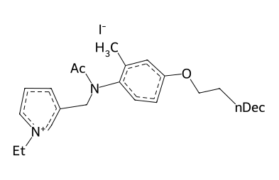 CCCCCCCCCCCCOc1ccc(N(Cc2ccc[n+](CC)c2)C(C)=O)c(C)c1.[I-]